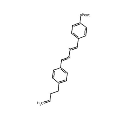 C=CCCc1ccc(C=NN=Cc2ccc(CCCCC)cc2)cc1